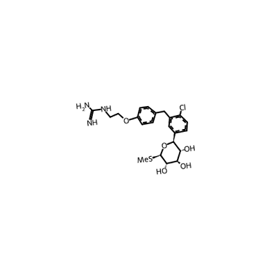 CS[C@H]1O[C@@H](c2ccc(Cl)c(Cc3ccc(OCCNC(=N)N)cc3)c2)[C@H](O)[C@@H](O)[C@@H]1O